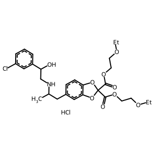 CCOCCOC(=O)C1(C(=O)OCCOCC)Oc2ccc(CC(C)NCC(O)c3cccc(Cl)c3)cc2O1.Cl